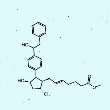 COC(=O)CCCC=CC[C@@H]1[C@@H](c2ccc(C(O)Cc3ccccc3)cc2)[C@H](O)C[C@H]1Cl